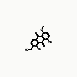 COc1ccc(O)c2c1C(=O)c1ccc(CO)c(O)c1C2=O